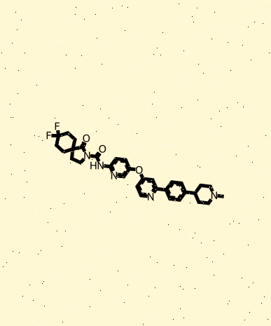 CN1CCC(c2ccc(-c3cc(Oc4ccc(NC(=O)N5CCC6(CCC(F)(F)CC6)C5=O)nc4)ccn3)cc2)CC1